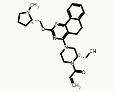 C=CC(=O)N1CCN(c2nc(OC[C@@H]3CCCN3C)nc3c2CCc2ccccc2-3)C[C@@H]1CC#N